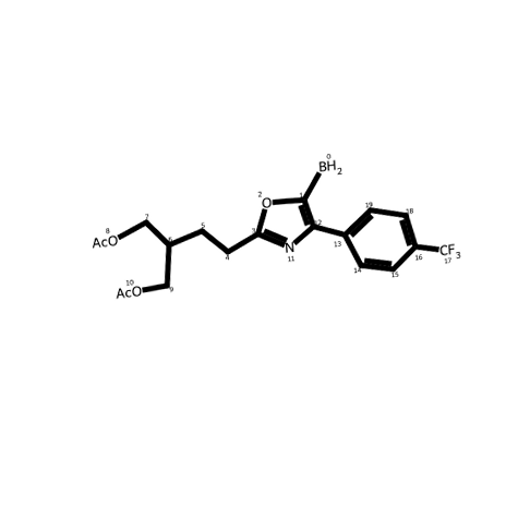 Bc1oc(CCC(COC(C)=O)COC(C)=O)nc1-c1ccc(C(F)(F)F)cc1